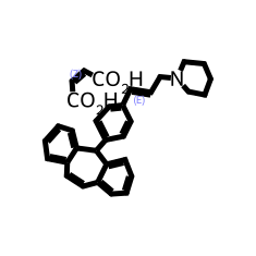 C1=Cc2ccccc2C(c2ccc(/C=C/CN3CCCCC3)cc2)c2ccccc21.O=C(O)/C=C\C(=O)O